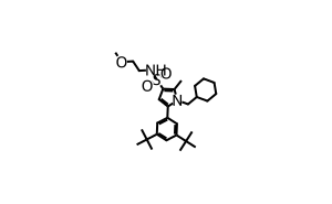 COCCNS(=O)(=O)c1cc(-c2cc(C(C)(C)C)cc(C(C)(C)C)c2)n(CC2CCCCC2)c1C